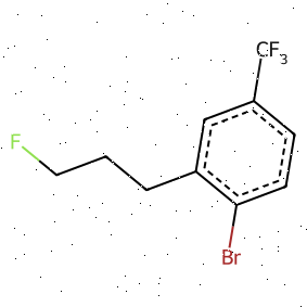 FCCCc1cc(C(F)(F)F)ccc1Br